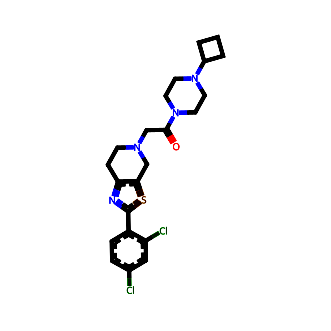 O=C(CN1CCc2nc(-c3ccc(Cl)cc3Cl)sc2C1)N1CCN(C2CCC2)CC1